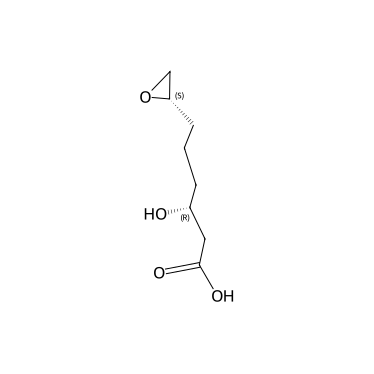 O=C(O)C[C@H](O)CCC[C@H]1CO1